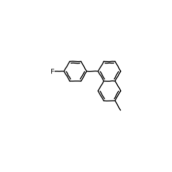 Cc1ccc2c(-c3ccc(F)cc3)cccc2c1